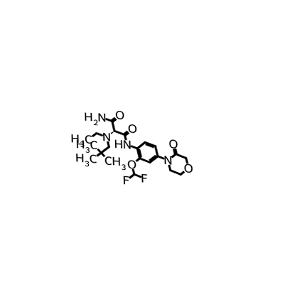 CCN(CC(C)(C)C)[C@H](C(N)=O)C(=O)Nc1ccc(N2CCOCC2=O)cc1OC(F)F